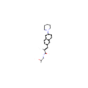 CCC(O)CNC(=O)/C(C#N)=C/c1ccc2cc(N3CCCCC3)ccc2c1